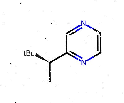 C[C@H](c1cnccn1)C(C)(C)C